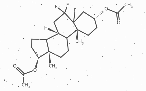 CC(=O)O[C@@H]1CC[C@]2(C)C3CC[C@@]4(C)C(CC[C@@H]4OC(C)=O)[C@@H]3CC(F)(F)C2(F)C1